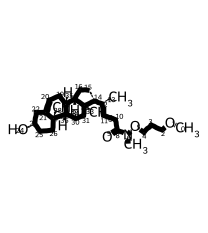 COCCCON(C)C(=O)CC[C@@H](C)[C@H]1CC[C@H]2[C@@H]3CC=C4C[C@@H](O)CC[C@]4(C)[C@H]3CC[C@]12C